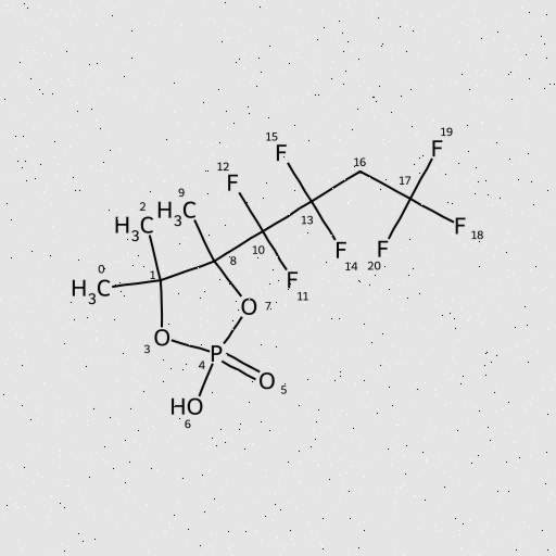 CC1(C)OP(=O)(O)OC1(C)C(F)(F)C(F)(F)CC(F)(F)F